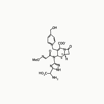 CON=CC(=O)N(c1n[nH]c(C(N)C(=O)O)n1)C1S[C@H]2CC(=O)N2C(C(=O)[O-])=C1C[n+]1ccc(CO)cc1